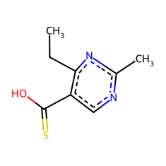 CCc1nc(C)ncc1C(O)=S